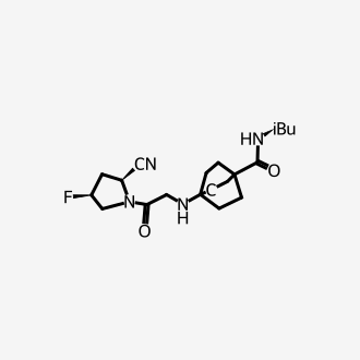 CC[C@H](C)NC(=O)C12CCC(NCC(=O)N3C[C@@H](F)C[C@H]3C#N)(CC1)CC2